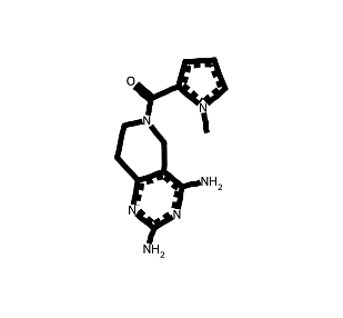 Cn1cccc1C(=O)N1CCc2nc(N)nc(N)c2C1